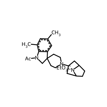 CCOC(=O)N1C2CCC1CC(N1CCC3(CC1)CN(C(C)=O)c1c(C)cc(C)cc13)C2